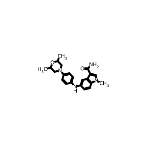 CC1CN(c2ccc(Nc3ccc4c(c3)c(C(N)=O)cn4C)cc2)CC(C)O1